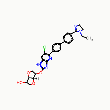 CCN1CCN=C1c1ccc(-c2ccc(-c3nc4nc(O[C@@H]5COC6[C@H](O)CO[C@@H]65)[nH]c4cc3Cl)cc2)cc1